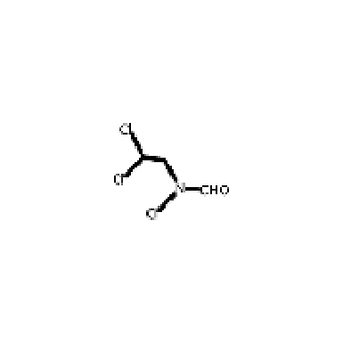 O=CN(Cl)CC(Cl)Cl